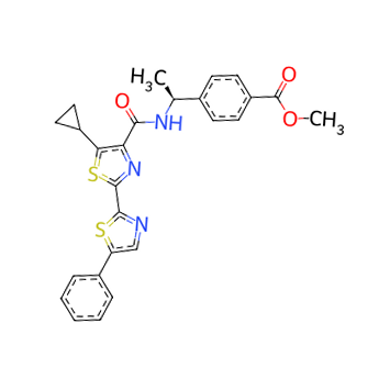 COC(=O)c1ccc([C@H](C)NC(=O)c2nc(-c3ncc(-c4ccccc4)s3)sc2C2CC2)cc1